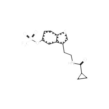 O=C(NCCc1csc2ccc(OS(=O)(=O)C(F)(F)F)cc12)C1CC1